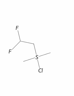 CS(C)(Cl)CC(F)F